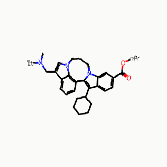 CCCOC(=O)c1ccc2c(C3CCCCC3)c3n(c2c1)CCCn1cc(CN(C)CC)c2cccc-3c21